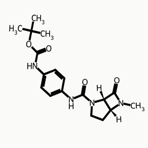 CN1C(=O)[C@@H]2[C@H]1CCN2C(=O)Nc1ccc(NC(=O)OC(C)(C)C)cc1